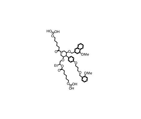 CCC(COC1CN(C(=O)CCCCCON(O)O)CC(OCc2cc(OC)c3ccccc3c2)C1c1ccc(OCCCOCc2ccccc2OC)cc1)OC(=O)CCCCCON(O)O